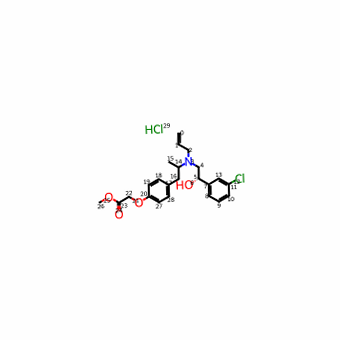 C=CCN(C[C@@H](O)c1cccc(Cl)c1)C(C)Cc1ccc(OCC(=O)OC)cc1.Cl